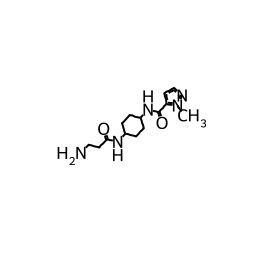 Cn1nccc1C(=O)NC1CCC(NC(=O)CCN)CC1